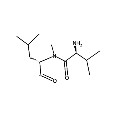 CC(C)C[C@@H]([C]=O)N(C)C(=O)[C@@H](N)C(C)C